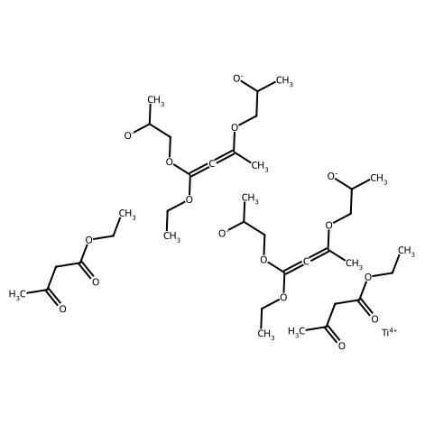 CCOC(=C=C(C)OCC(C)[O-])OCC(C)[O-].CCOC(=C=C(C)OCC(C)[O-])OCC(C)[O-].CCOC(=O)CC(C)=O.CCOC(=O)CC(C)=O.[Ti+4]